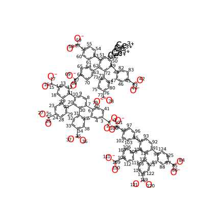 O=C([O-])c1ccc(-c2ccc(-c3ccc(C(=O)[O-])cc3)c(-c3ccc(C(=O)[O-])cc3)c2-c2ccc(C(=O)[O-])cc2)cc1.O=C([O-])c1ccc(-c2ccc(-c3ccc(C(=O)[O-])cc3)c(-c3ccc(C(=O)[O-])cc3)c2-c2ccc(C(=O)[O-])cc2)cc1.O=C([O-])c1ccc(-c2ccc(-c3ccc(C(=O)[O-])cc3)c(-c3ccc(C(=O)[O-])cc3)c2-c2ccc(C(=O)[O-])cc2)cc1.[Ce+3].[Ce+3].[Ce+3].[Ce+3]